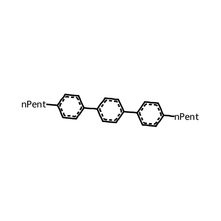 CCCCCc1ccc(-c2ccc(-c3ccc(CCCCC)cc3)cc2)cc1